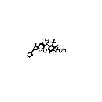 Cc1cc(SC2=C(O)CC(CCc3ccsc3)(C(C)C)OC2=O)c(C(C)(C)C)c2sc(O)nc12